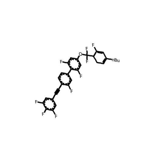 CCCCC1=CCC(C(F)(F)Oc2cc(F)c(-c3ccc(C#Cc4cc(F)c(F)c(F)c4)c(F)c3)c(F)c2)C(F)=C1